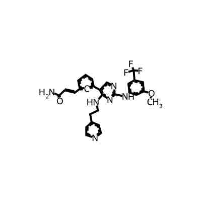 COc1cc(Nc2ncc(-c3cccc(C=CC(N)=O)c3)c(NCCc3ccncc3)n2)cc(C(F)(F)F)c1